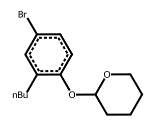 CCCCc1cc(Br)ccc1OC1CCCCO1